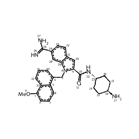 COc1cccc2c(Cn3c(C(=O)N[C@H]4CC[C@H](N)CC4)cc4ccc(C(=N)N)cc43)cccc12